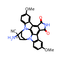 COc1ccc2c(c1)c1c3c(c4c5cc(OC)ccc5n5c4c1n2C1CC5[C@](N)(C#N)C1)C(=O)NC3=O